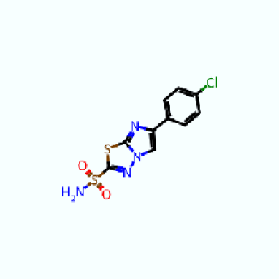 NS(=O)(=O)c1nn2cc(-c3ccc(Cl)cc3)nc2s1